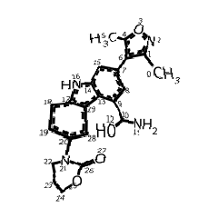 Cc1noc(C)c1-c1cc(C(N)O)c2c(c1)[nH]c1ccc(N3CCCOC3=O)cc12